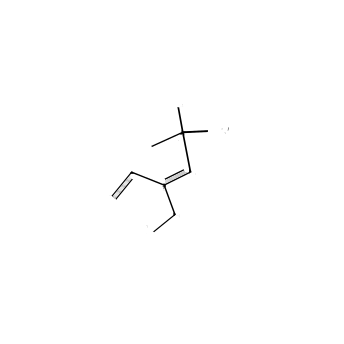 C=C/C(=C\C(C)(C)OC)CS